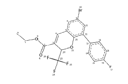 CCOC(=O)C1=Cc2cc(Br)cc(-c3ccc(F)cc3)c2OC1C(F)(F)F